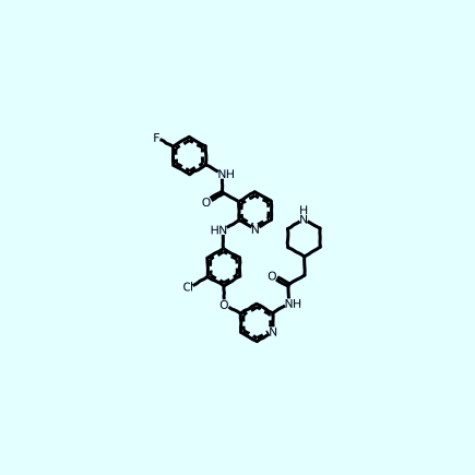 O=C(CC1CCNCC1)Nc1cc(Oc2ccc(Nc3ncccc3C(=O)Nc3ccc(F)cc3)cc2Cl)ccn1